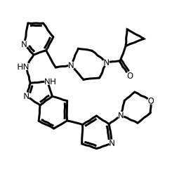 O=C(C1CC1)N1CCN(Cc2cccnc2Nc2nc3ccc(-c4ccnc(N5CCOCC5)c4)cc3[nH]2)CC1